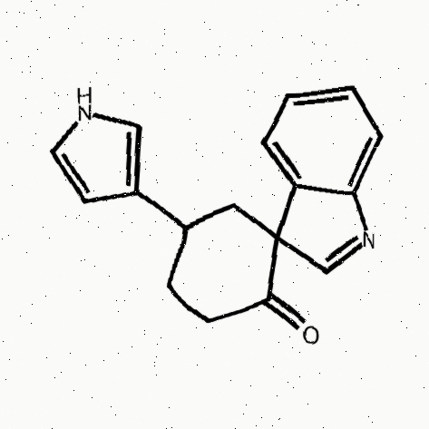 O=C1CCC(c2cc[nH]c2)CC12C=Nc1ccccc12